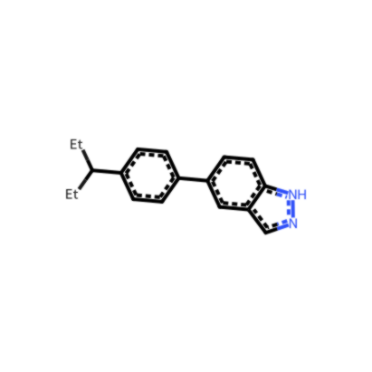 CCC(CC)c1ccc(-c2ccc3[nH]ncc3c2)cc1